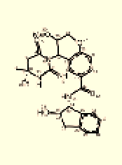 CC[C@]1(C)CC(=O)N(C2c3cc(C(=O)N[C@@H]4c5ccccc5C[C@H]4O)ccc3OCC2OC)C(=N)N1